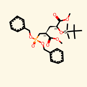 COC(=O)[C@H](C[C@H](O[Si](C)(C)C(C)(C)C)C(=O)OC)CP(=O)(OCc1ccccc1)OCc1ccccc1